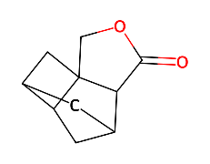 O=C1OCC23CC4CC(CC42)C13